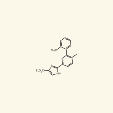 CCOC(=O)c1c[nH]c(-c2ccc(C)c(-c3ccccc3OC)c2)n1